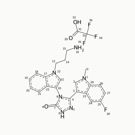 Cn1cc(-c2n[nH]c(=O)n2-c2cn(CCCN)c3ccccc23)c2cc(F)ccc21.O=C(O)C(F)(F)F